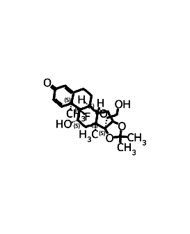 CC1(C)OC2C[C@H]3[C@@H]4CCC5=CC(=O)C=C[C@]5(C)[C@@]4(F)[C@@H](O)C[C@]3(C)[C@]2(C(=O)CO)O1